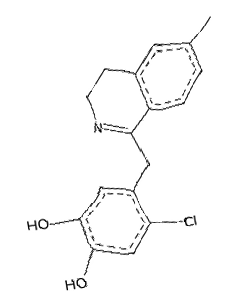 Cc1ccc2c(c1)CCN=C2Cc1cc(O)c(O)cc1Cl